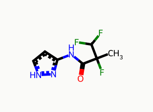 CC(F)([C](F)F)C(=O)Nc1cc[nH]n1